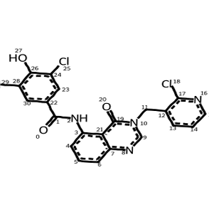 O=C(Nc1cccc2ncn(Cc3cccnc3Cl)c(=O)c12)c1cc(Cl)c(O)c(Cl)c1